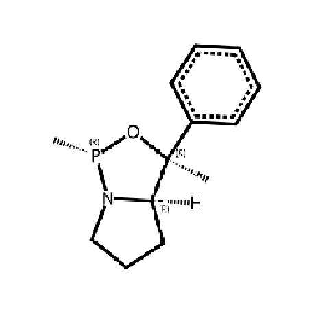 C[P@]1O[C@@](C)(c2ccccc2)[C@H]2CCCN21